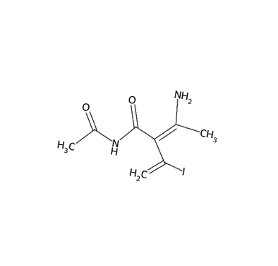 C=C(I)/C(C(=O)NC(C)=O)=C(\C)N